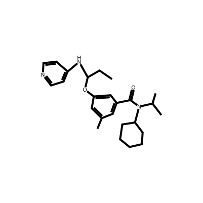 CCC(Nc1ccncc1)Oc1cc(C)cc(C(=O)N(C(C)C)C2CCCCC2)c1